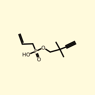 C#CC(C)(C)COP(=O)(O)CC=C